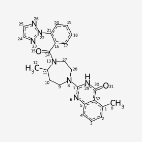 Cc1cccc2nc(N3CCC(C)N(C(=O)c4ccccc4-n4nccn4)CC3)[nH]c(=O)c12